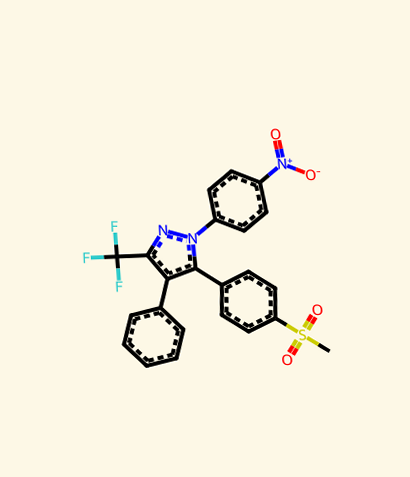 CS(=O)(=O)c1ccc(-c2c(-c3ccccc3)c(C(F)(F)F)nn2-c2ccc([N+](=O)[O-])cc2)cc1